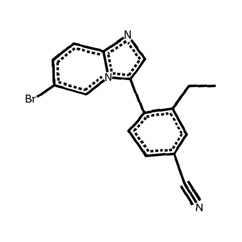 CCc1cc(C#N)ccc1-c1cnc2ccc(Br)cn12